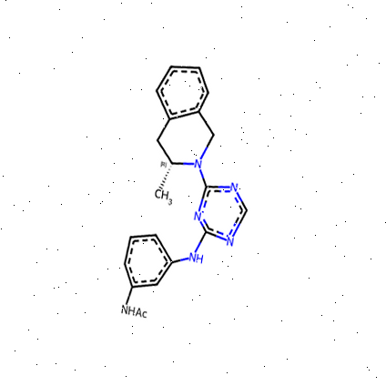 CC(=O)Nc1cccc(Nc2ncnc(N3Cc4ccccc4C[C@H]3C)n2)c1